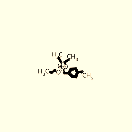 C=Cc1ccc(C[Si](OCCC)(OCCC)OCCC)cc1